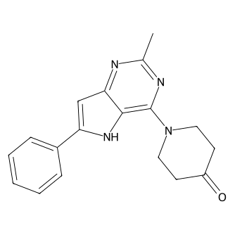 Cc1nc(N2CCC(=O)CC2)c2[nH]c(-c3ccccc3)cc2n1